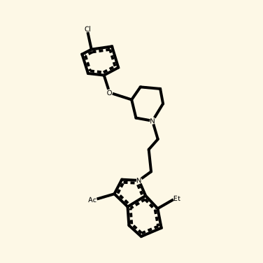 CCc1cccc2c(C(C)=O)cn(CCCN3CCCC(Oc4ccc(Cl)cc4)C3)c12